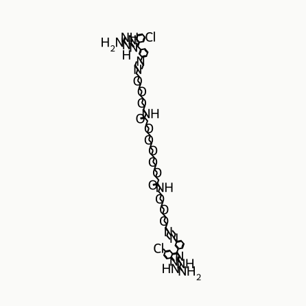 N=C(N)Nc1nc(-c2cccc(N3CCN(CCOCCOCCOCCNC(=O)CCOCCOCCOCCOCCOCCC(=O)NCCOCCOCCOCCN4CCN(c5cccc(-c6nc(NC(=N)N)nc7ccc(Cl)cc67)c5)CC4)CC3)c2)c2cc(Cl)ccc2n1